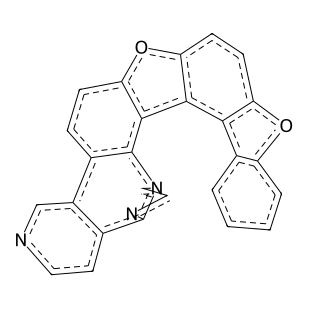 c1ccc2c(c1)oc1ccc3oc4ccc5c6cnccc6c6nccn6c5c4c3c12